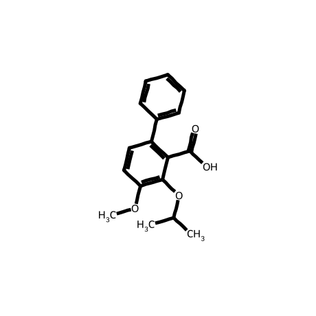 COc1ccc(-c2ccccc2)c(C(=O)O)c1OC(C)C